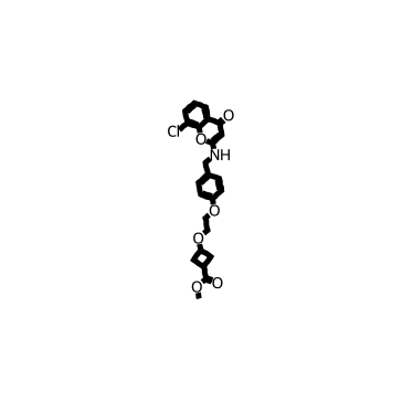 COC(=O)C1CC(OCCOc2ccc(CNc3cc(=O)c4cccc(Cl)c4o3)cc2)C1